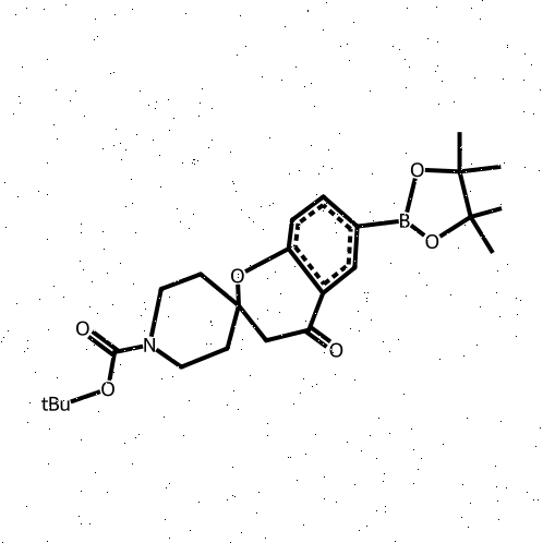 CC(C)(C)OC(=O)N1CCC2(CC1)CC(=O)c1cc(B3OC(C)(C)C(C)(C)O3)ccc1O2